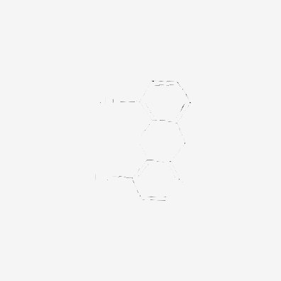 Cc1cccc2c1Sc1c(C)ccnc1C2